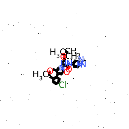 CC1Cc2ccc(Cl)cc2-c2cc(=O)n(C(CCOC(C)(C)C)C(=O)Nc3ccn4ncnc4c3)cc2CO1